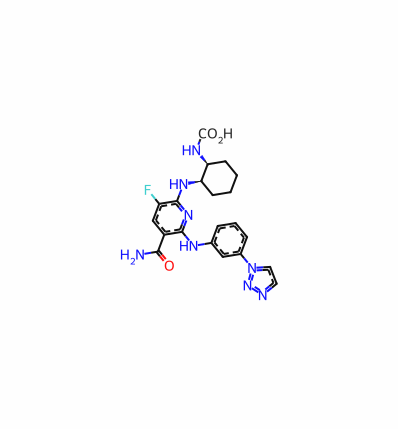 NC(=O)c1cc(F)c(N[C@@H]2CCCC[C@@H]2NC(=O)O)nc1Nc1cccc(-n2ccnn2)c1